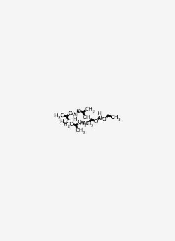 CC(C)[O][AlH2].CC(C)[O][AlH][O]C(C)C.CC[O][AlH][O]CC